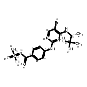 C[C@@H](Nc1nc(Nc2ccc(C(=O)N=S(C)(C)=O)cc2)ncc1Br)C(C)(C)O